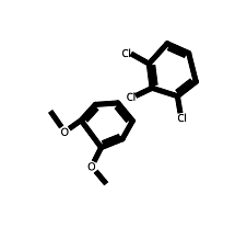 COc1ccccc1OC.Clc1cccc(Cl)c1Cl